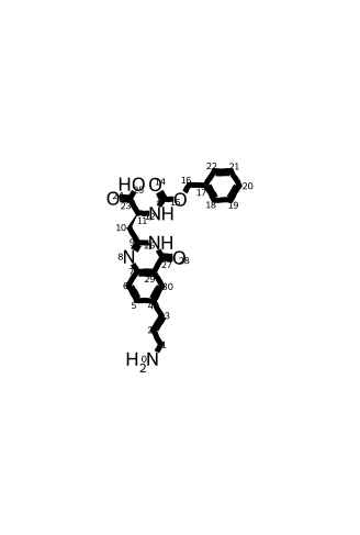 NCC=Cc1ccc2nc(C[C@H](NC(=O)OCc3ccccc3)C(=O)O)[nH]c(=O)c2c1